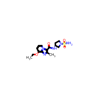 CCOc1cccn2c(C(=O)N[C@@H]3CCN(S(N)(=O)=O)C3)c(C)nc12